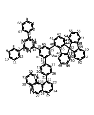 c1ccc(-c2nc(-c3ccccc3)nc(-c3cc(-c4ccc(-c5cccc6cnc7cccnc7c56)cc4)cc(-c4cccc5c4-c4ccccc4C54c5ccccc5-c5ccccc54)c3)n2)cc1